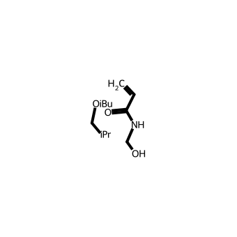 C=CC(=O)NCO.CC(C)COCC(C)C